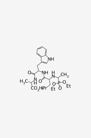 CCOP(=O)(OCC)C(C)NC(CC(C)C)C(=O)NC(Cc1c[nH]c2ccccc12)C(=O)NC(C)C(=O)O